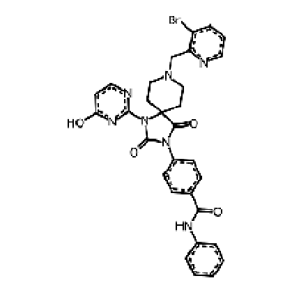 O=C(Nc1ccccc1)c1ccc(N2C(=O)N(c3nccc(O)n3)C3(CCN(Cc4ncccc4Br)CC3)C2=O)cc1